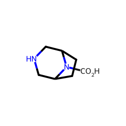 O=C(O)N1C2CCC1CNC2